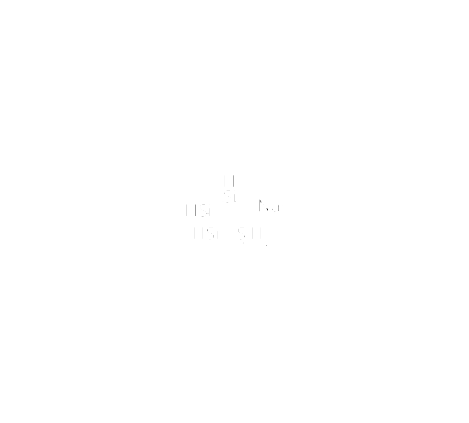 C1=[SiH][SiH]=[SiH][SiH2]1.[Na]